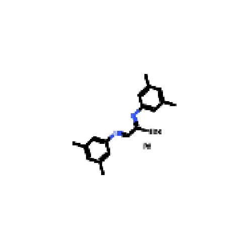 CCCCCCC(C=Nc1cc(C)cc(C)c1)=Nc1cc(C)cc(C)c1.[Pd]